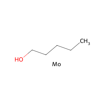 CCCCCO.[Mo]